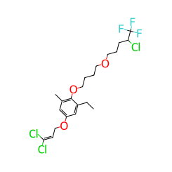 CCc1cc(OCC=C(Cl)Cl)cc(C)c1OCCCCOCCCC(Cl)C(F)(F)F